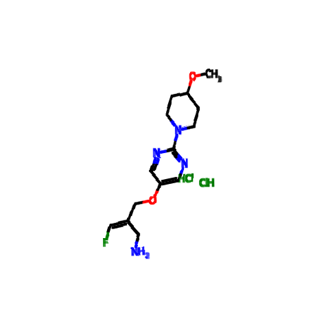 COC1CCN(c2ncc(OC/C(=C/F)CN)cn2)CC1.Cl.Cl